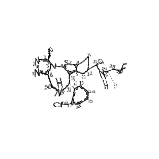 Cc1nnc2n1-c1sc3c(c1[C@H](c1ccccc1Cl)NC2)C[C@H](C(=O)N[C@@H](C)CF)C3